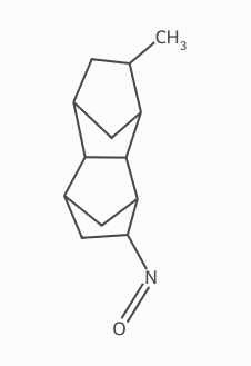 CC1CC2CC1C1C3CC(CC3N=O)C21